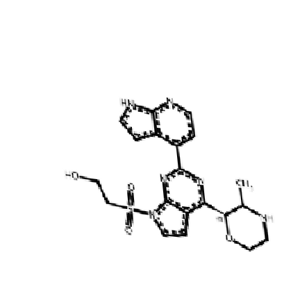 CC1NCCO[C@H]1c1nc(-c2ccnc3[nH]ccc23)nc2c1ccn2S(=O)(=O)CCO